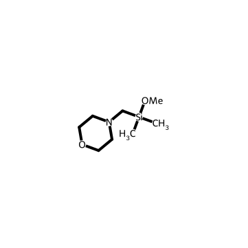 CO[Si](C)(C)CN1CCOCC1